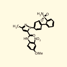 COc1ccc(NC(=O)c2cc(C)nn2-c2ccc(-c3ccccc3S(N)(=O)=O)cc2)c([N+](=O)[O-])c1